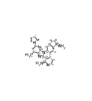 Cc1cc(-n2cccn2)nc2c1nc(-c1cccnc1N)n2-c1ccc2c(c1)CC[C@@H]2N